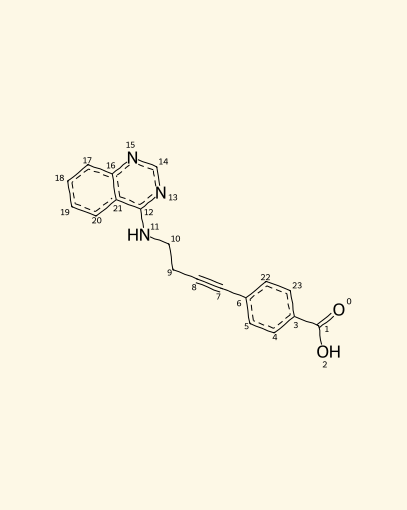 O=C(O)c1ccc(C#CCCNc2ncnc3ccccc23)cc1